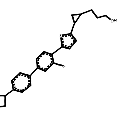 OCCCC1CC1c1ccc(-c2ccc(-c3ccc(C4CCC4)cc3)cc2F)s1